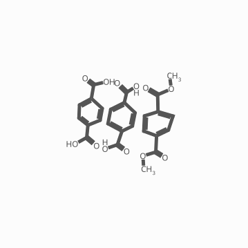 COC(=O)c1ccc(C(=O)OC)cc1.O=C(O)c1ccc(C(=O)O)cc1.O=C(O)c1ccc(C(=O)O)cc1